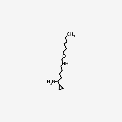 CCCCCCOCNCCCCC(N)C1CC1